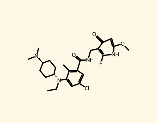 CCN(c1cc(Cl)cc(C(=O)NCc2c(F)[nH]c(OC)cc2=O)c1C)[C@H]1CC[C@H](N(C)C)CC1